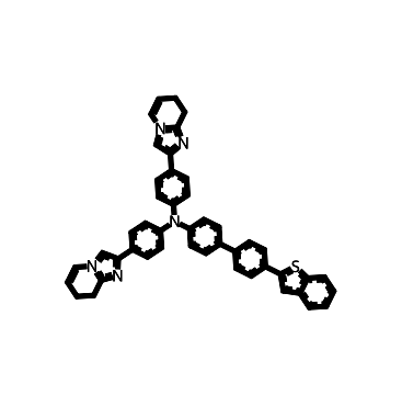 C1=Cn2cc(-c3ccc(N(c4ccc(-c5ccc(-c6cc7ccccc7s6)cc5)cc4)c4ccc(-c5cn6c(n5)CCC=C6)cc4)cc3)nc2CC1